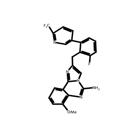 COc1cccc2c1nc(N)n1cc(Cc3c(F)cccc3-c3ccc(C(F)(F)F)nc3)nc21